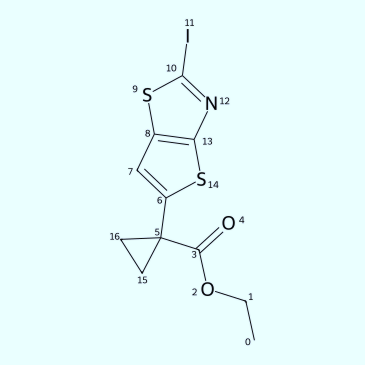 CCOC(=O)C1(c2cc3sc(I)nc3s2)CC1